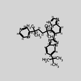 CC(C)(C)c1ccc2nc(-c3ccc4ncnn4c3C(C)(C)CCC(C)(C)c3cnccn3)nn2c1